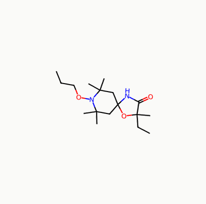 CCCON1C(C)(C)CC2(CC1(C)C)NC(=O)C(C)(CC)O2